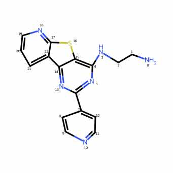 NCCNc1nc(-c2ccncc2)nc2c1sc1ncccc12